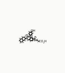 O=C(O)CCNC(=O)c1ccc(CN(C(=O)Nc2ccc(O)cc2)C2CCC3CCCCC3C2)cc1